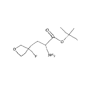 CC(C)(C)OC(=O)C(N)CC1(F)COC1